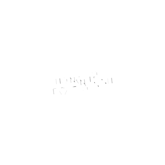 C[C@@H]1CN(CCC(=O)N2CC(C)(C)c3nc(CO)c(Cc4ccc(F)cc4)cc32)[C@@H](C(=O)I)CN1